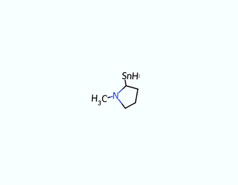 CN1CCC[CH]1[SnH]